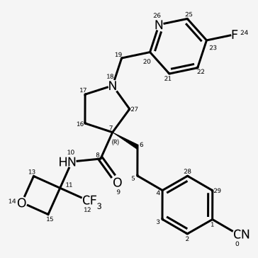 N#Cc1ccc(CC[C@@]2(C(=O)NC3(C(F)(F)F)COC3)CCN(Cc3ccc(F)cn3)C2)cc1